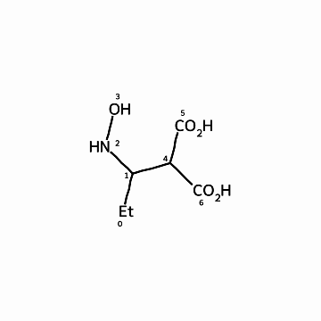 CCC(NO)C(C(=O)O)C(=O)O